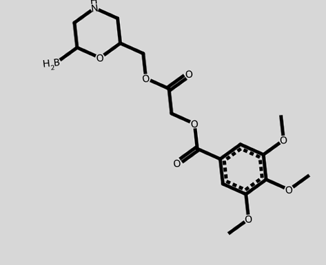 BC1CNCC(COC(=O)COC(=O)c2cc(OC)c(OC)c(OC)c2)O1